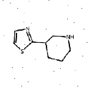 c1csc(C2CCCNC2)n1